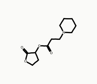 O=C(CCN1CCCCC1)OC1CCOC1=O